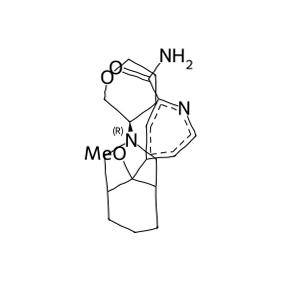 COC1(c2ccnc(C(N)=O)c2)C2CCCC1CN([C@@H]1CCCOC1)C2